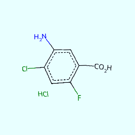 Cl.Nc1cc(C(=O)O)c(F)cc1Cl